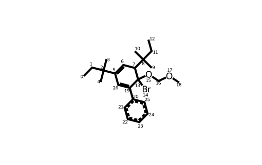 CCC(C)(C)C1=CC(C(C)(C)CC)C(Br)(OCOC)C(c2ccccc2)=C1